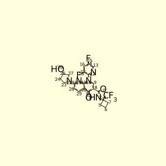 O=C(NC1(C(F)(F)F)CCC1)c1cn(-c2ncc(F)cc2F)c2nc(N3CCC(O)C3)ccc2c1=O